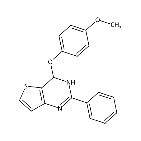 COc1ccc(OC2NC(c3ccccc3)=Nc3ccsc32)cc1